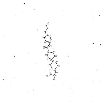 CCCCc1ccc(OC(=O)C2CCC(C3CCC(CC(C)CC)CC3)CC2)cc1